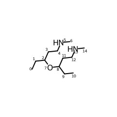 CCC(CCNC)OC(CC)CCNC